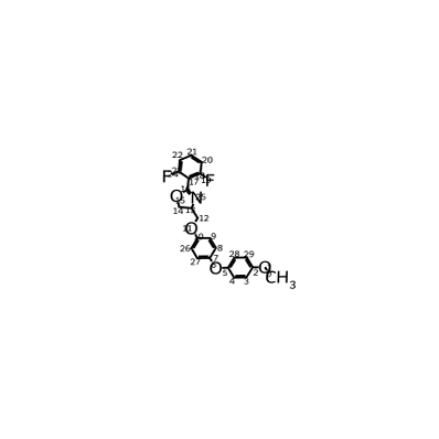 COc1ccc(Oc2ccc(OCC3COC(c4c(F)cccc4F)=N3)cc2)cc1